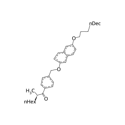 CCCCCCCCCCCCCOc1ccc2cc(OCc3ccc(C(=O)[C@H](C)CCCCCC)cc3)ccc2c1